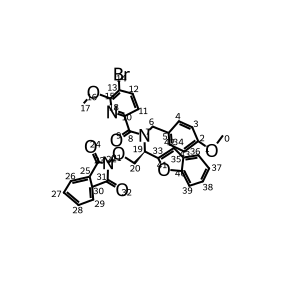 COc1ccc(CN(C(=O)c2ccc(Br)c(OC)n2)[C@H](CON2C(=O)c3ccccc3C2=O)c2cc3ccccc3o2)cc1